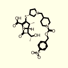 C[C@@H](O)[C@H]1C(=O)N2C(C(=O)O)=C(S[C@@H]3CCN(CC4CCN(C(=O)OCc5ccc([N+](=O)[O-])cc5)CC4)C3)[C@H](C)[C@H]12